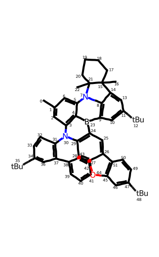 Cc1cc2c3c(c1)N1c4c(cc(C(C)(C)C)cc4C4(C)CCCCC14C)B3c1cc3c(cc1N2c1ccc(C(C)(C)C)cc1-c1ccccc1)oc1cc(C(C)(C)C)ccc13